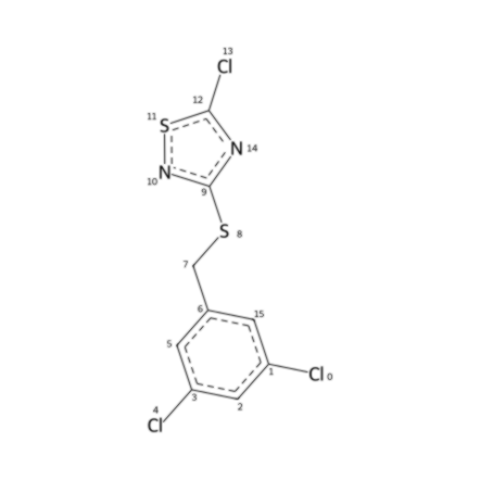 Clc1cc(Cl)cc(CSc2nsc(Cl)n2)c1